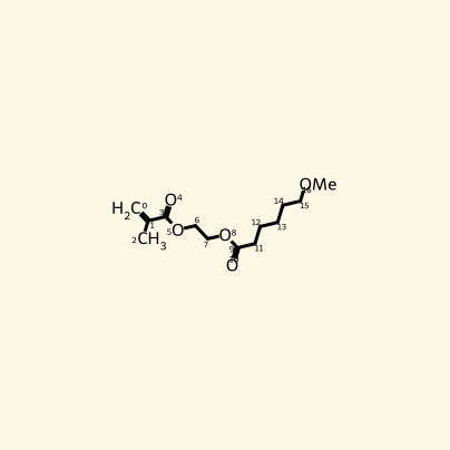 C=C(C)C(=O)OCCOC(=O)CCCCCOC